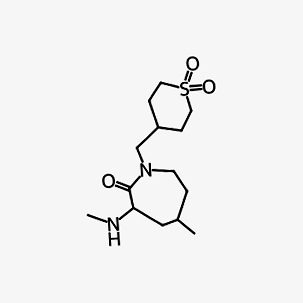 CNC1CC(C)CCN(CC2CCS(=O)(=O)CC2)C1=O